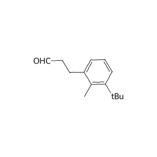 Cc1c(CCC=O)cccc1C(C)(C)C